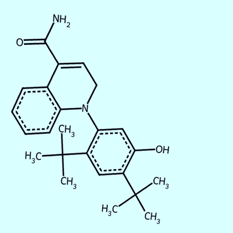 CC(C)(C)c1cc(C(C)(C)C)c(N2CC=C(C(N)=O)c3ccccc32)cc1O